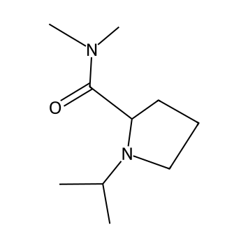 CC(C)N1CCCC1C(=O)N(C)C